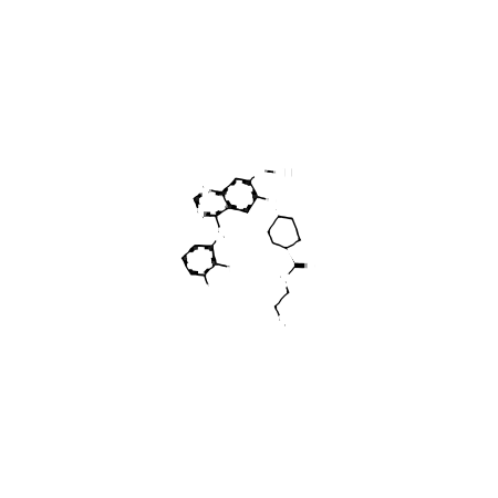 COc1cc2ncnc(Nc3cccc(Cl)c3F)c2cc1O[C@H]1CC[C@H](C(=O)NCCN)CC1